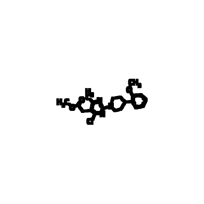 COC(=O)Cc1c(C)nc(N2CCC(c3ccccc3OC)CC2)nc1Cl